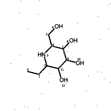 CCC1NC(CO)C(O)C(O)C1O